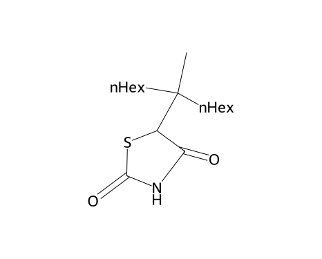 CCCCCCC(C)(CCCCCC)C1SC(=O)NC1=O